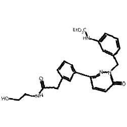 CCOC(=O)Nc1cccc(Cn2nc(-c3cccc(CC(=O)NCCO)c3)ccc2=O)c1